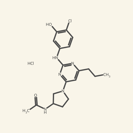 CCCc1cc(N2CCC(NC(C)=O)C2)nc(Nc2ccc(Cl)c(O)c2)n1.Cl